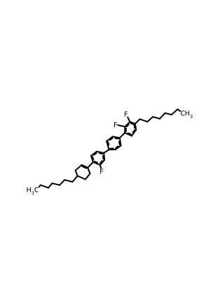 CCCCCCCCc1ccc(-c2ccc(-c3ccc(C4=CCC(CCCCCCC)CC4)c(F)c3)cc2)c(F)c1F